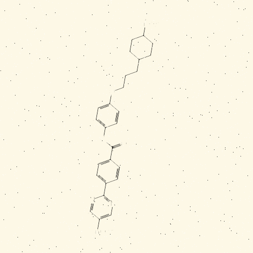 CCCCCCCCc1cnc(-c2ccc(C(=O)Oc3ccc(OCCCC4CCC(CCCCC)CC4)cc3)cc2)nc1